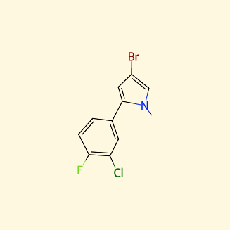 Cn1cc(Br)cc1-c1ccc(F)c(Cl)c1